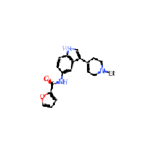 CCN1CC=C(c2c[nH]c3ccc(NC(=O)c4ccco4)cc23)CC1